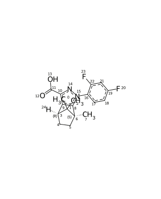 CC1(C)[C@H]2CC[C@]1(C)c1c2c(C(=O)O)nn1-c1ccc(F)cc1F